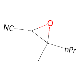 CCCC1(C)OC1C#N